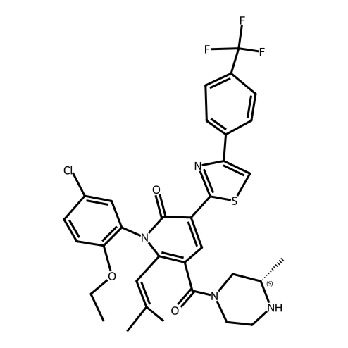 CCOc1ccc(Cl)cc1-n1c(C=C(C)C)c(C(=O)N2CCN[C@@H](C)C2)cc(-c2nc(-c3ccc(C(F)(F)F)cc3)cs2)c1=O